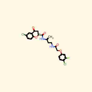 C=C(CCNC(=O)COc1ccc(Cl)c(F)c1)NC(=O)[C@@H]1CC(=O)c2cc(Cl)ccc2O1